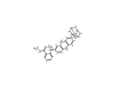 COC(=O)c1ccccc1N(C)c1ccc(Oc2ccc(C34CC5CC(CC(C5)C3)C4)cc2Cl)cc1